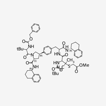 COC(=O)CSC(C)(C)C(NC(=O)OC(C)(C)C)C(=O)NC(Cc1ccc([C@H]2C[C@@H](C(=O)N[C@@H]3CCCc4ccccc43)N(C(=O)C(NC(=O)OCc3ccccc3)C(C)(C)C)C2)cc1)C(=O)N[C@@H]1CCCc2ccccc21